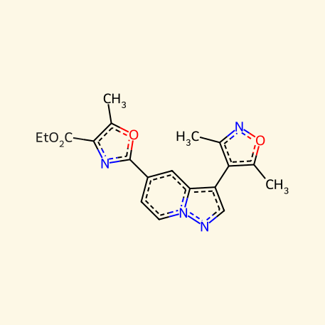 CCOC(=O)c1nc(-c2ccn3ncc(-c4c(C)noc4C)c3c2)oc1C